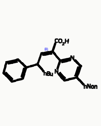 CCCCCCCCCc1cnc(/C(=C\C(CCCC)c2ccccc2)C(=O)O)nc1